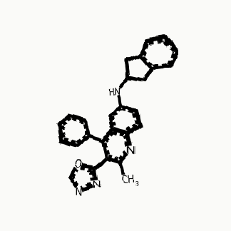 Cc1nc2ccc(NC3Cc4ccccc4C3)cc2c(-c2ccccc2)c1-c1nnco1